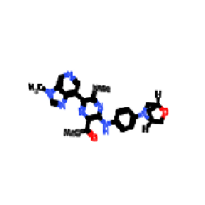 CNc1nc(Nc2ccc(N3C[C@H]4C[C@@H]3CO4)cc2)c(C(=O)OC)nc1-c1cncc2c1ncn2C